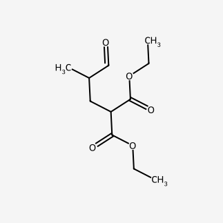 CCOC(=O)C(CC(C)C=O)C(=O)OCC